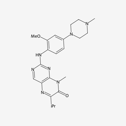 COc1cc(N2CCN(C)CC2)ccc1Nc1ncc2nc(C(C)C)c(=O)n(C)c2n1